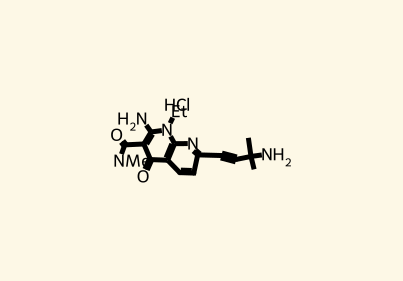 CCn1c(N)c(C(=O)NC)c(=O)c2ccc(C#CC(C)(C)N)nc21.Cl